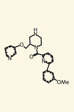 COc1cccc(-c2cccc(C(=O)N3CCNCC3COc3cccnc3)n2)c1